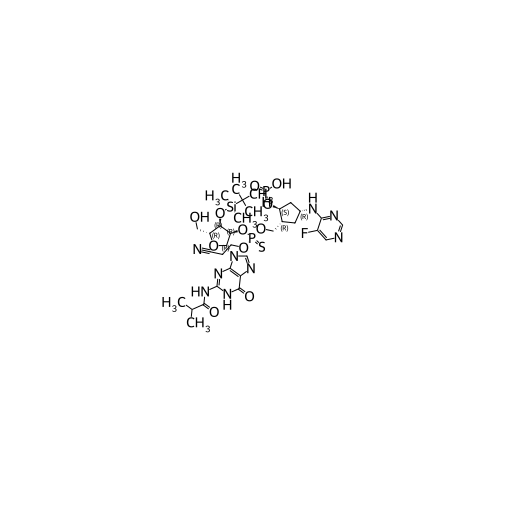 CC(C)C(=O)Nc1nc2c(ncn2[C@@H]2O[C@H](CO)[C@@H](O[Si](C)(C)C(C)(C)C)[C@H]2OP(=S)(OCCC#N)OC[C@H]2C[C@@H](Nc3ncncc3F)C[C@@H]2O[PH](=O)O)c(=O)[nH]1